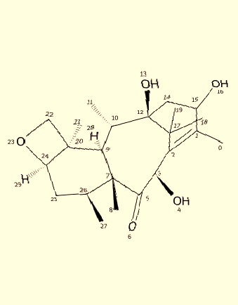 CC1=C2[C@@H](O)C(=O)[C@@]3(C)[C@H]([C@H](C)[C@](O)(CC1O)C2(C)C)[C@]1(C)CO[C@@H]1C[C@@H]3C